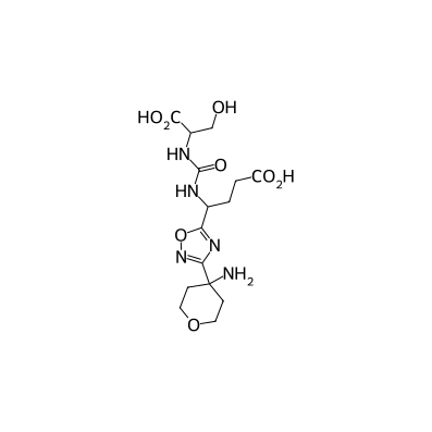 NC1(c2noc(C(CCC(=O)O)NC(=O)NC(CO)C(=O)O)n2)CCOCC1